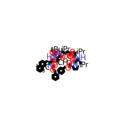 CC(C)C[C@H](NC(=O)[C@@H](OC(=O)C[C@H](O)[C@H](NC(=O)[C@@H](NC(=O)OC(C)(C)C)[C@@H](C)OC(=O)[C@H](Cc1ccc2ccccc2c1)N(C)C(=O)OCc1ccccc1)C(C)C)C(C)C)C(=O)N1CCC[C@H]1C(=O)OCc1ccccc1